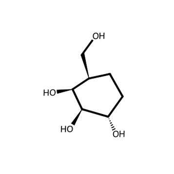 OC[C@H]1CC[C@H](O)[C@@H](O)[C@H]1O